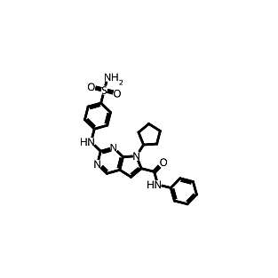 NS(=O)(=O)c1ccc(Nc2ncc3cc(C(=O)Nc4ccccc4)n(C4CCCC4)c3n2)cc1